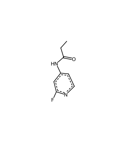 CCC(=O)Nc1ccnc(F)c1